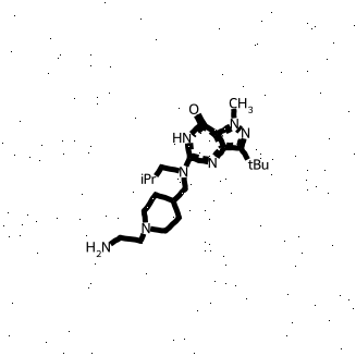 CC(C)CN(CC1CCN(CCN)CC1)c1nc2c(C(C)(C)C)nn(C)c2c(=O)[nH]1